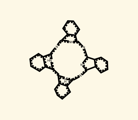 c1ccc2c(c1)-c1nc-2nc2[nH]c(c3ccccc23)c2[nH]c(nc3[nH]c(n1)c1ccccc31)c1ccccc12